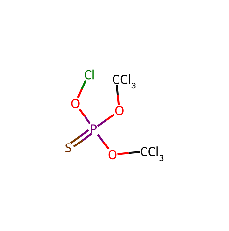 S=P(OCl)(OC(Cl)(Cl)Cl)OC(Cl)(Cl)Cl